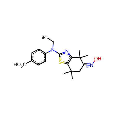 CC(C)CN(c1ccc(C(=O)O)cc1)c1nc2c(s1)C(C)(C)C/C(=N/O)C2(C)C